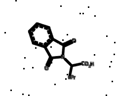 [CH2]CCC(C(=O)O)N1C(=O)c2ccccc2C1=O